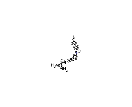 CCCc1ccc(-c2ccc(C(=O)/C=C/c3ccc(OCCCCCOC(=O)c4cc(N)cc(N)c4)cc3)cc2)cc1